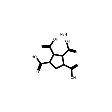 O=C(O)C1CC(C(=O)O)C(C(=O)O)C1C(=O)O.[NaH]